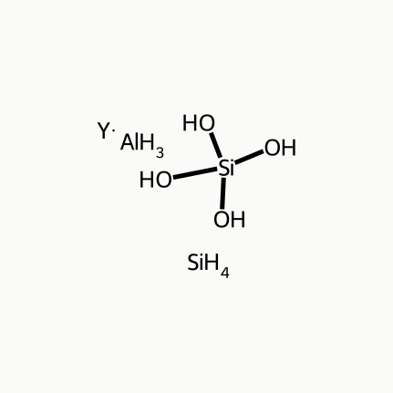 O[Si](O)(O)O.[AlH3].[SiH4].[Y]